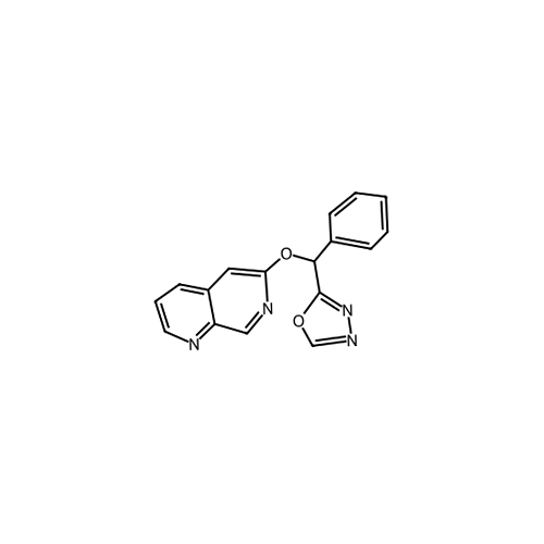 c1ccc(C(Oc2cc3cccnc3cn2)c2nnco2)cc1